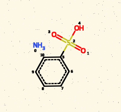 N.O=S(=O)(O)c1ccccc1